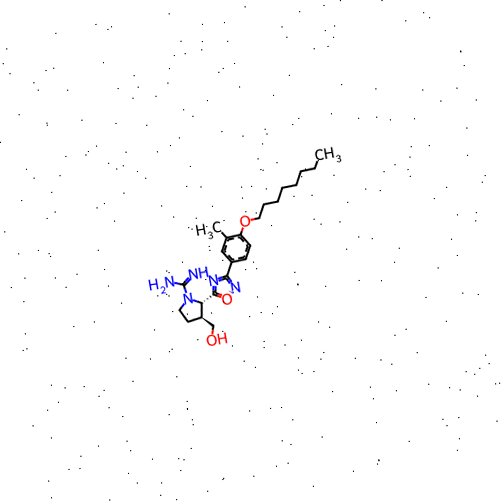 CCCCCCCCOc1ccc(-c2noc([C@@H]3[C@@H](CO)CCN3C(=N)N)n2)cc1C